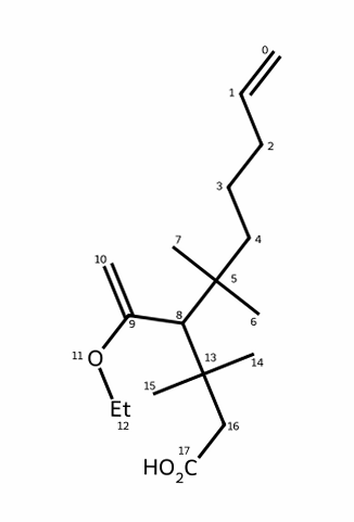 C=CCCCC(C)(C)C(C(=C)OCC)C(C)(C)CC(=O)O